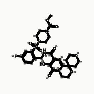 COC(=O)N1CCN(S(=O)(=O)c2cc(F)ccc2CNC(=O)c2nc3n(c(=O)c2O)CCOC32CCOCC2)CC1